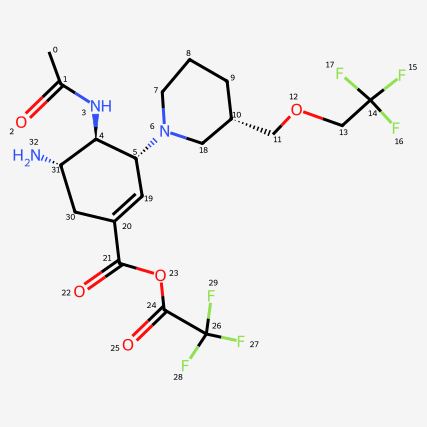 CC(=O)N[C@H]1[C@H](N2CCC[C@H](COCC(F)(F)F)C2)C=C(C(=O)OC(=O)C(F)(F)F)C[C@@H]1N